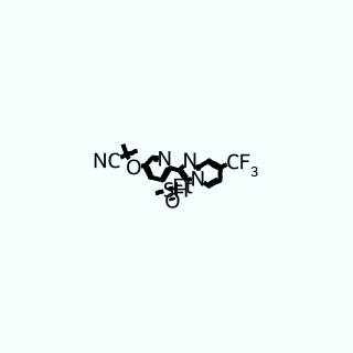 CC[SH](C)(=O)c1cc(OC(C)(C)C#N)cnc1-c1cn2ccc(C(F)(F)F)cc2n1